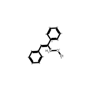 CCO[SiH2]C(=Cc1ccccc1)c1ccccc1